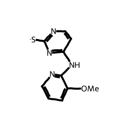 COc1cccnc1Nc1ccnc([S])n1